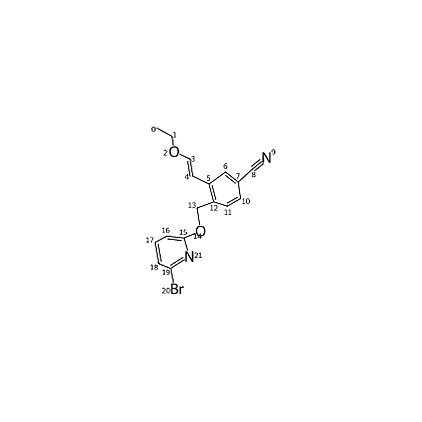 CCO/C=C/c1cc(C#N)ccc1COc1cccc(Br)n1